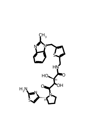 Cc1nc2ccccc2n1Cc1ccc(CNC(=O)[C@H](O)C(O)C(=O)N2CCC[C@@H]2c2csc(N)n2)s1